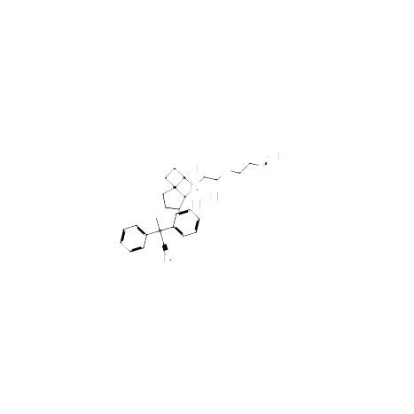 COCCOCC[N+]1(C)[C@H]2CCC23C[C@@H](CC(C#N)(c2ccccc2)c2ccccc2)C[C@@H]31